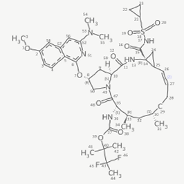 COc1ccc2c(O[C@@H]3C[C@H]4C(=O)N[C@]5(C(=O)NS(=O)(=O)C6CC6)CC5/C=C\CC[C@H](C)C[C@@H](C)[C@H](NC(=O)OC(C)(C)C(C)(F)F)C(=O)N4C3)nc(N(C)C)cc2c1